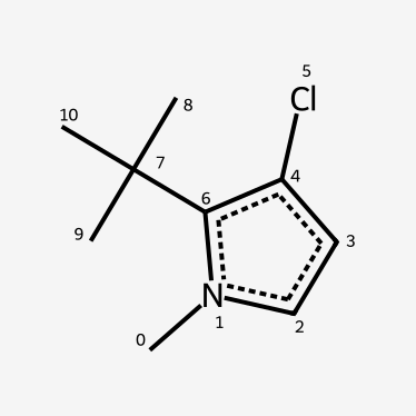 Cn1ccc(Cl)c1C(C)(C)C